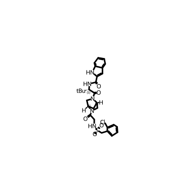 CC(C)(C)[C@H](NC(=O)c1cc2ccccc2[nH]1)C(=O)N1C[C@@H]2C[C@H]1CN2C(=O)CNS(=O)(=O)Cc1ccccc1Cl